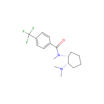 CN(C)[C@H]1CCCC[C@H]1N(C)C(=O)c1ccc(C(F)(F)F)cc1